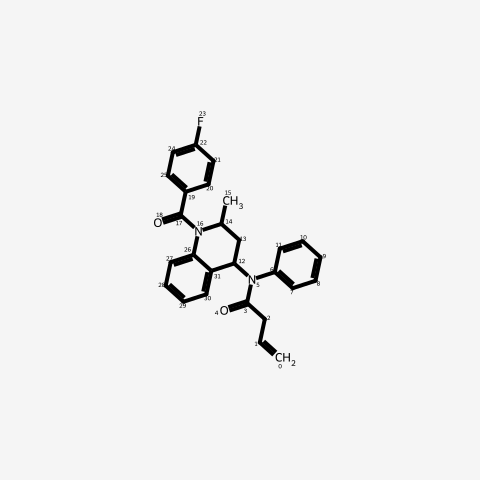 C=CCC(=O)N(c1ccccc1)C1CC(C)N(C(=O)c2ccc(F)cc2)c2ccccc21